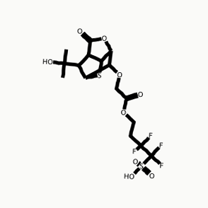 CC(C)(O)C1C2SC3C(OC(=O)C31)C2OCC(=O)OCCC(F)(F)C(F)(F)S(=O)(=O)O